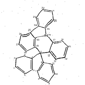 C1=CCCC(C2(c3ccccc3)c3ccccc3-n3c4ccccc4c4cccc2c43)=C1